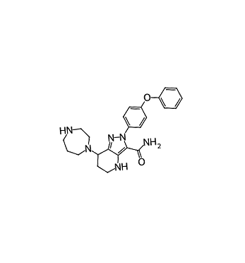 NC(=O)c1c2c(nn1-c1ccc(Oc3ccccc3)cc1)C(N1CCCNCC1)CCN2